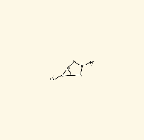 CC(C)N1CC2C(C1)C2C(C)(C)C